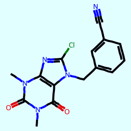 Cn1c(=O)c2c(nc(Cl)n2Cc2cccc(C#N)c2)n(C)c1=O